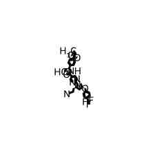 CCS(=O)(=O)c1ccc([C@H](CO)NC(=O)c2cnc(N3C[C@H](Oc4ccc(C(F)(F)F)cc4)C[C@H]3CCC#N)nc2)cc1